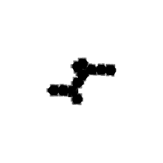 c1ccc(-c2ccc(-c3ccc(N(c4ccc(-c5ccc(-c6cc(-c7ccc(-c8ccccc8)cc7)nc(-c7ccccc7)n6)cc5)cc4)c4cccc5ccccc45)cc3)cc2)cc1